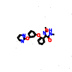 CNC(=O)C(=NOC)c1ccccc1Oc1cccc(Oc2ncccn2)c1